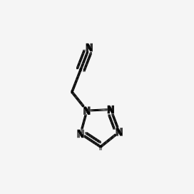 N#CCn1n[c]nn1